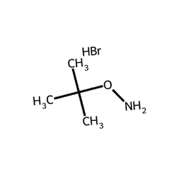 Br.CC(C)(C)ON